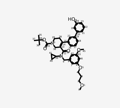 COCCCOc1cc(CN(C(=O)C2=C(c3cccc(-c4cccc(O)c4)c3)CCN(C(=O)OC(C)(C)C)C2)C2CC2)cc(OC)c1